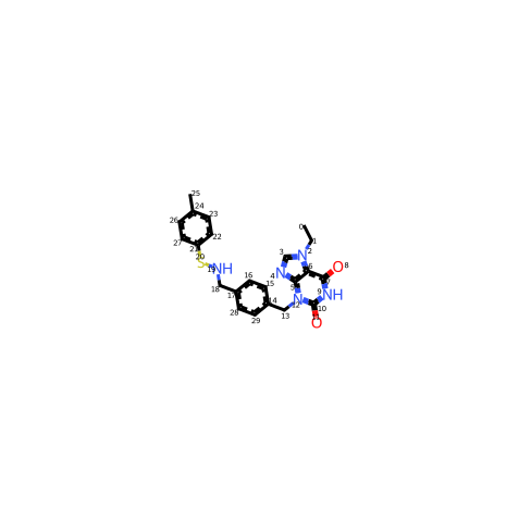 CCn1cnc2c1c(=O)[nH]c(=O)n2Cc1ccc(CNSc2ccc(C)cc2)cc1